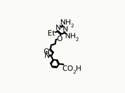 CCc1nc(N)nc(N)c1OCCCc1cc(-c2cccc(CC(=O)O)c2)no1